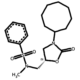 CN(C[C@@H]1CN(C2CCCCCCC2)C(=O)O1)S(=O)(=O)c1ccccc1